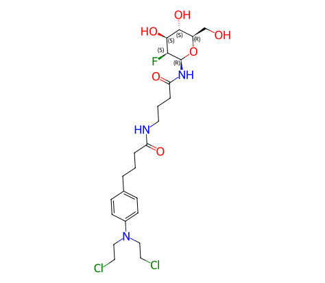 O=C(CCCc1ccc(N(CCCl)CCCl)cc1)NCCCC(=O)N[C@@H]1O[C@H](CO)[C@@H](O)[C@H](O)[C@@H]1F